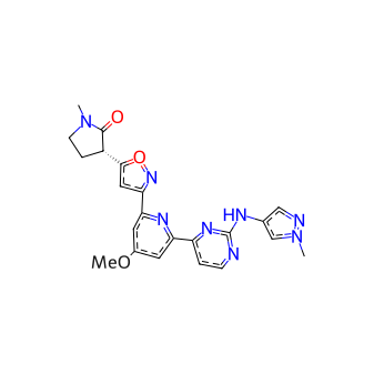 COc1cc(-c2cc([C@@H]3CCN(C)C3=O)on2)nc(-c2ccnc(Nc3cnn(C)c3)n2)c1